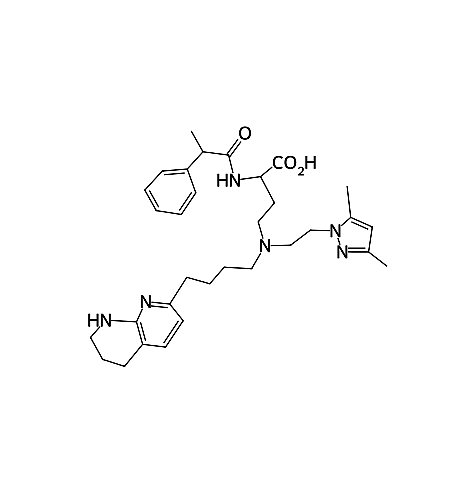 Cc1cc(C)n(CCN(CCCCc2ccc3c(n2)NCCC3)CCC(NC(=O)C(C)c2ccccc2)C(=O)O)n1